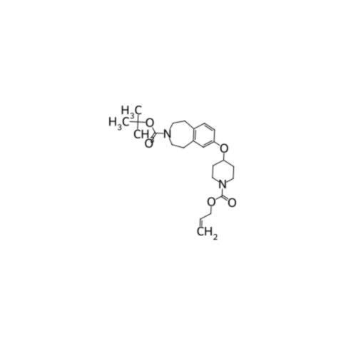 C=CCOC(=O)N1CCC(Oc2ccc3c(c2)CCN(C(=O)OC(C)(C)C)CC3)CC1